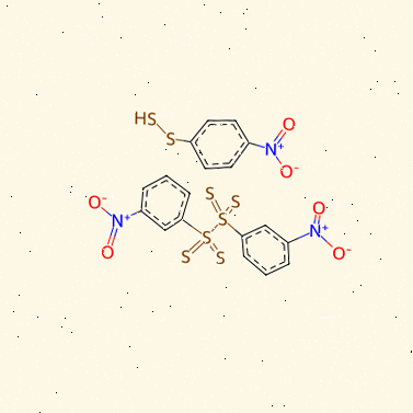 O=[N+]([O-])c1ccc(SS)cc1.O=[N+]([O-])c1cccc(S(=S)(=S)S(=S)(=S)c2cccc([N+](=O)[O-])c2)c1